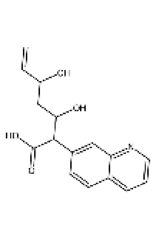 C=CC(O)CC(O)C(C(=O)O)c1ccc2cccnc2c1